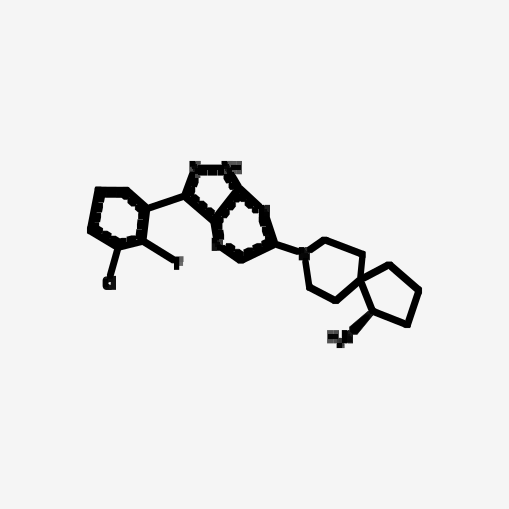 N[C@@H]1CCCC12CCN(c1cnc3c(-c4cccc(Cl)c4F)n[nH]c3n1)CC2